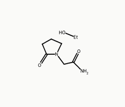 CCO.NC(=O)CN1CCCC1=O